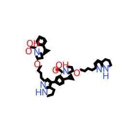 O=C(O)[C@H](c1ccccc1C1CC1)N1CC[C@@H](OCCCCc2cc(-c3ccc(C4CC4)c([C@H](C(=O)O)N4CC[C@@H](OCCCCc5ccc6c(n5)NCCC6)C4)c3)c3c(n2)NCCC3)C1